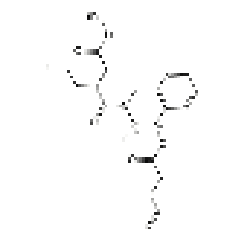 C=CCCC(=O)O[C@@H](c1ccccc1)[C@H](C)N(C)C(=O)C(CC=C)CC(=O)OC(C)(C)C